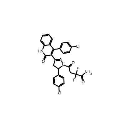 NC(=O)C(F)(F)CC(=O)N1N=C(c2c(-c3ccc(Cl)cc3)c3ccccc3[nH]c2=O)CC1c1ccc(Cl)cc1